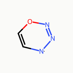 C1=CON=N[N]1